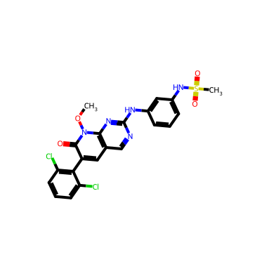 COn1c(=O)c(-c2c(Cl)cccc2Cl)cc2cnc(Nc3cccc(NS(C)(=O)=O)c3)nc21